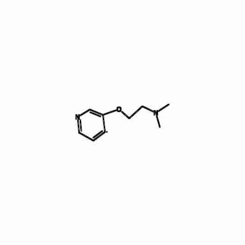 CN(C)CCOc1[c]ccnc1